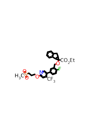 CCOC(=O)C1(OCc2cc(-c3cnc(OCCCS(C)(=O)=O)cc3C(F)(F)F)ccc2F)C2Cc3ccccc3C21